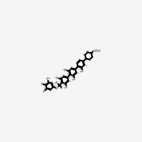 CCCCCCCCC1CCC(c2ccc(-c3cc(F)c(-c4cc(F)c(C(F)(F)Oc5cc(F)c(F)c(F)c5)c(F)c4)c(F)c3)c(F)c2)CC1